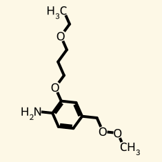 CCOCCCOc1cc(COOC)ccc1N